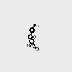 CCOC[C@]1(O)CC[C@]2(CCN(c3ccc(C(C)(C)C)cc3)C2=O)CC1